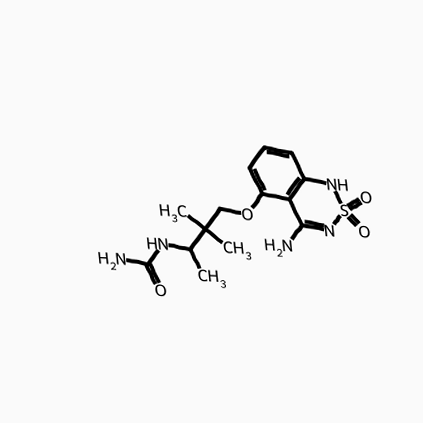 CC(NC(N)=O)C(C)(C)COc1cccc2c1C(N)=NS(=O)(=O)N2